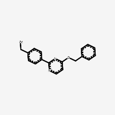 CC(=O)Cc1ccc(-c2nccc(OCc3ccccc3)n2)cc1